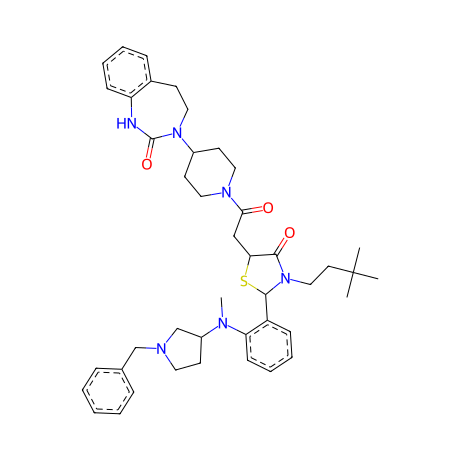 CN(c1ccccc1C1SC(CC(=O)N2CCC(N3CCc4ccccc4NC3=O)CC2)C(=O)N1CCC(C)(C)C)C1CCN(Cc2ccccc2)C1